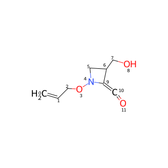 C=CCON1CC(CO)C1=C=O